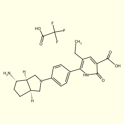 CCc1cc(C(=O)O)c(=O)[nH]c1-c1ccc(N2C[C@H]3CC[C@H](N)[C@H]3C2)cc1.O=C(O)C(F)(F)F